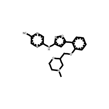 CN1CCOC(COc2ccccc2-c2cc(Nc3cnc(C#N)cn3)no2)C1